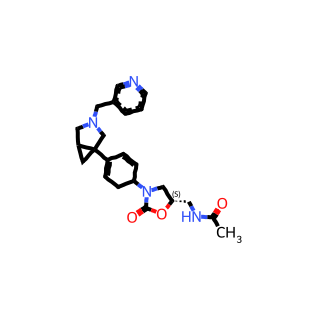 CC(=O)NC[C@H]1CN(C2C=CC(C34CC3CN(Cc3cccnc3)C4)=CC2)C(=O)O1